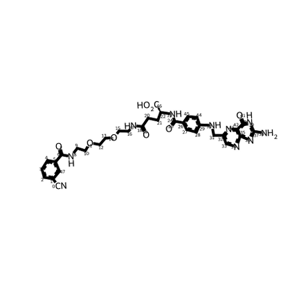 N#Cc1cccc(C(=O)NCCOCCOCCNC(=O)CC[C@H](NC(=O)c2ccc(NCc3cnc4nc(N)[nH]c(=O)c4n3)cc2)C(=O)O)c1